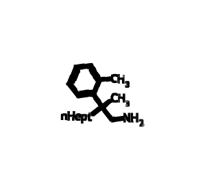 CCCCCCCC(C)(CN)c1ccccc1C